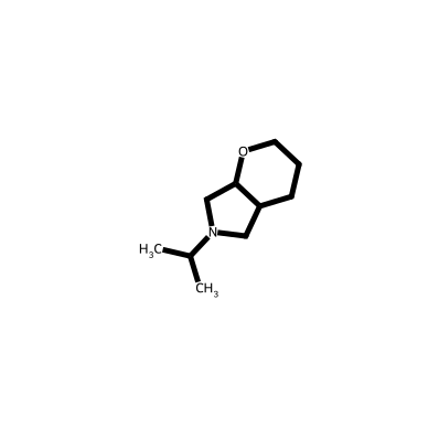 CC(C)N1CC2CCCOC2C1